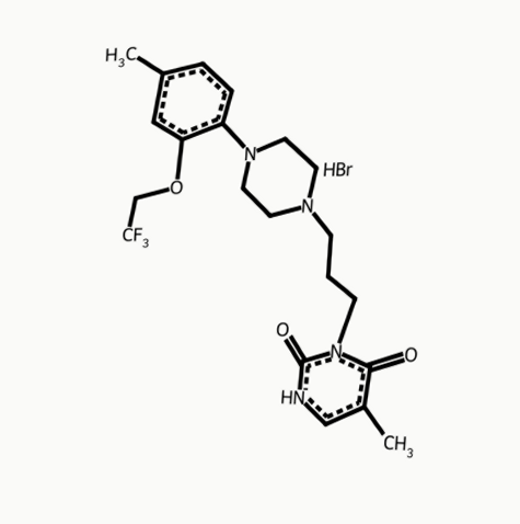 Br.Cc1ccc(N2CCN(CCCn3c(=O)[nH]cc(C)c3=O)CC2)c(OCC(F)(F)F)c1